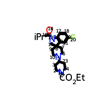 CCOC(=O)N1CCC(N2CCC3(CC2)CN(C(=O)C(C)C)c2ccc(F)cc23)CC1